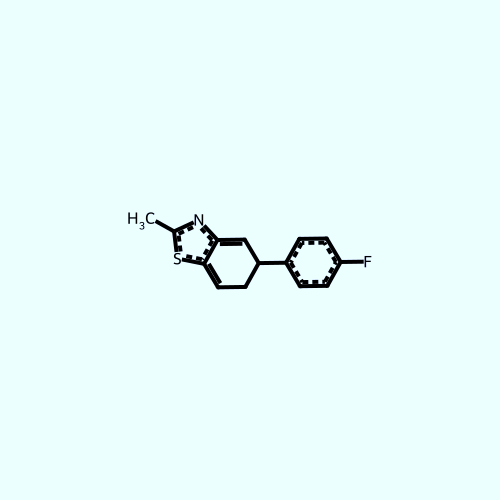 Cc1nc2c(s1)=CCC(c1ccc(F)cc1)C=2